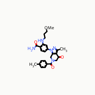 COCCCNc1cc(-n2nc(C)c3c2CN(C(=O)c2ccc(C)cc2)CC3=O)ccc1C(N)=O